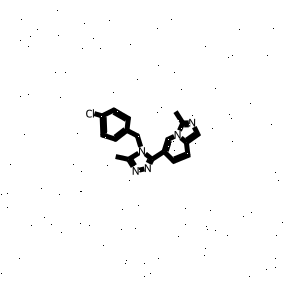 Cc1nnc(-c2ccc3cnc(C)n3c2)n1Cc1ccc(Cl)cc1